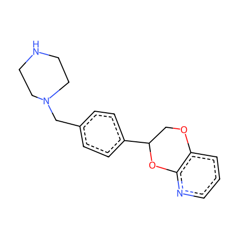 c1cnc2c(c1)OCC(c1ccc(CN3CCNCC3)cc1)O2